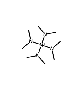 CN(C)[N+](N(C)C)(N(C)C)N(C)C